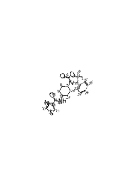 CC1(C)OC(=O)N([C@H]2CC[C@H](NC(=O)c3cscn3)CC2)[C@H]1c1ccccc1